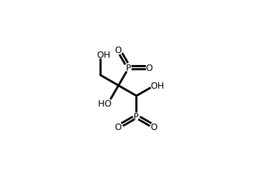 O=P(=O)C(O)C(O)(CO)P(=O)=O